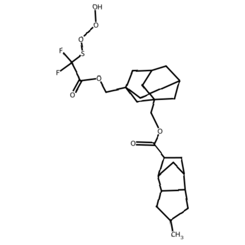 CC1CC2C3CC(C(=O)OCC45CC6CC(C4)CC(COC(=O)C(F)(F)SOOO)(C6)C5)C(C3)C2C1